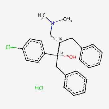 CN(C)C[C@H](Cc1ccccc1)[C@@](O)(Cc1ccccc1)c1ccc(Cl)cc1.Cl